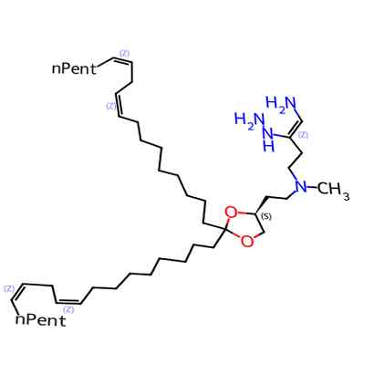 CCCCC/C=C\C/C=C\CCCCCCCCC1(CCCCCCCC/C=C\C/C=C\CCCCC)OC[C@H](CCN(C)CC/C(=C/N)NN)O1